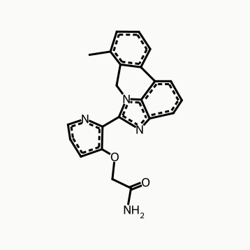 Cc1cccc2c1Cn1c(-c3ncccc3OCC(N)=O)nc3cccc-2c31